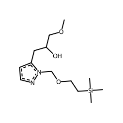 COCC(O)Cc1ccnn1COCC[Si](C)(C)C